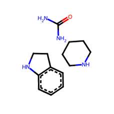 C1CCNCC1.NC(N)=O.c1ccc2c(c1)CCN2